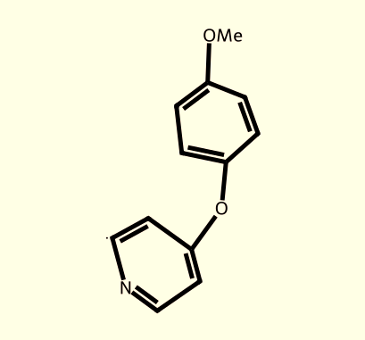 COc1ccc(Oc2c[c]ncc2)cc1